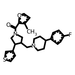 Cc1ccoc1C(=O)N1CC(CN2CCC(c3ccc(F)cc3)CC2)C(c2ccsc2)C1